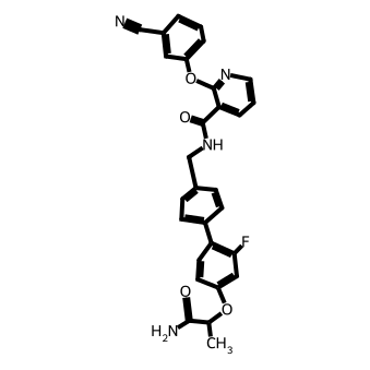 CC(Oc1ccc(-c2ccc(CNC(=O)c3cccnc3Oc3cccc(C#N)c3)cc2)c(F)c1)C(N)=O